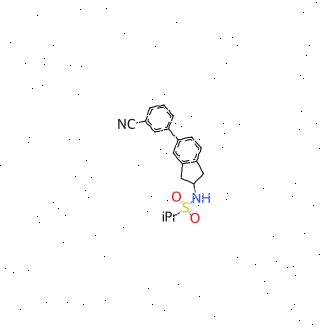 CC(C)S(=O)(=O)NC1Cc2ccc(-c3cccc(C#N)c3)cc2C1